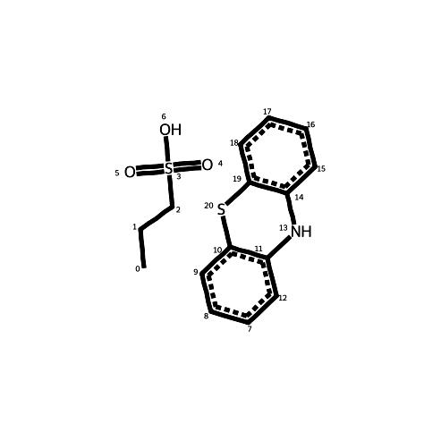 CCCS(=O)(=O)O.c1ccc2c(c1)Nc1ccccc1S2